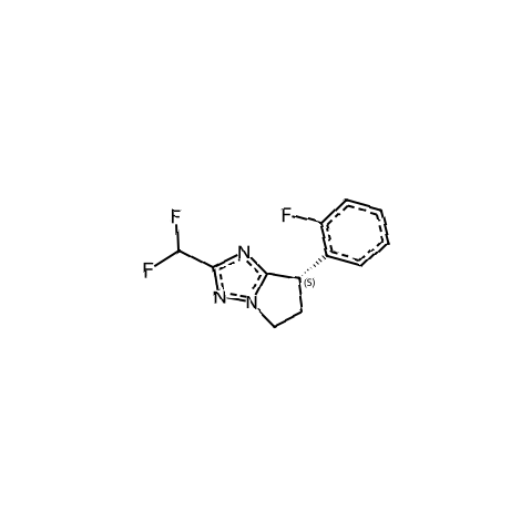 Fc1ccccc1[C@@H]1CCn2nc(C(F)F)nc21